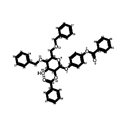 O=C(Oc1ccc(OC2OC(COCc3ccccc3)C(OCc3ccccc3)C(O)C2OC(=O)c2ccccc2)cc1)c1ccccc1